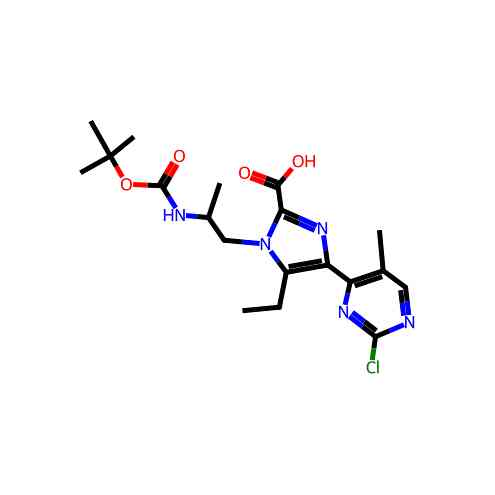 CCc1c(-c2nc(Cl)ncc2C)nc(C(=O)O)n1CC(C)NC(=O)OC(C)(C)C